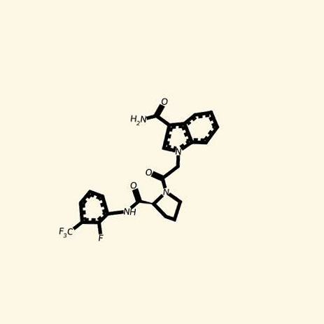 NC(=O)c1cn(CC(=O)N2CCC[C@H]2C(=O)Nc2cccc(C(F)(F)F)c2F)c2ccccc12